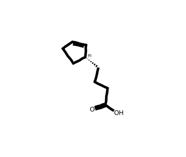 O=C(O)CCC[C@H]1C=CCC1